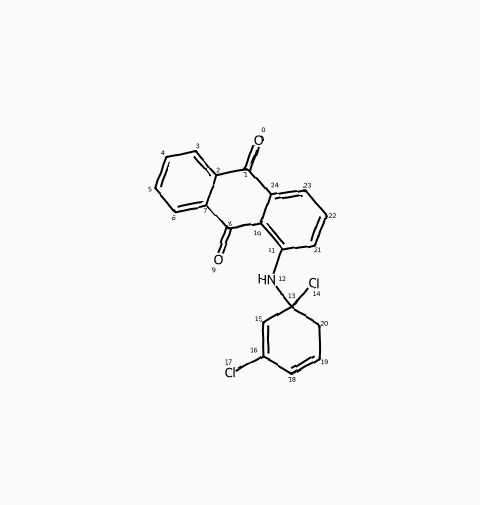 O=C1c2ccccc2C(=O)c2c(NC3(Cl)C=C(Cl)C=CC3)cccc21